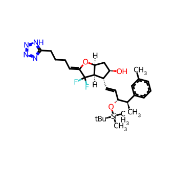 Cc1cccc([C@@H](C)[C@@H](/C=C/[C@@H]2[C@@H]3[C@H](C[C@H]2O)O/C(=C\CCCc2nnn[nH]2)C3(F)F)O[Si](C)(C)C(C)(C)C)c1